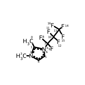 Cc1n(C)cc[n+]1C(F)(F)C(F)(F)C(F)(F)F